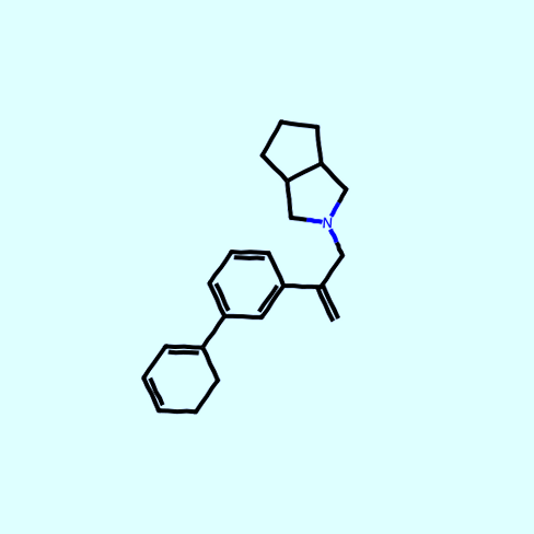 C=C(CN1CC2CCCC2C1)c1cccc(C2=CC=CCC2)c1